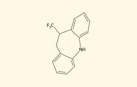 FC(F)(F)C1Cc2ccccc2Nc2ccccc21